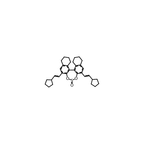 O=S1Oc2c(/C=C/C3CCCC3)cc3c(c2-c2c4c(cc(/C=C/C5CCCC5)c2O1)CCCC4)CCCC3